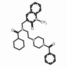 Cn1c(=O)c(CN(CCN2CCN(C(=O)c3ccccc3)CC2)C(=O)C2CCCCC2)cc2ccccc21